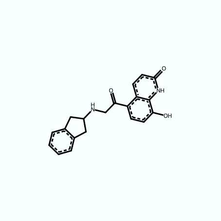 O=C(CNC1Cc2ccccc2C1)c1ccc(O)c2[nH]c(=O)ccc12